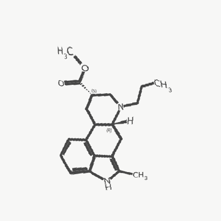 CCCN1C[C@@H](C(=O)OC)CC2c3cccc4[nH]c(C)c(c34)C[C@H]21